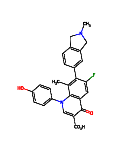 Cc1c(-c2ccc3c(c2)CN(C)C3)c(F)cc2c(=O)c(C(=O)O)cn(-c3ccc(O)cc3)c12